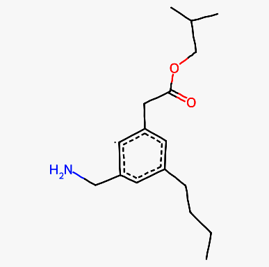 CCCCc1cc(CN)[c]c(CC(=O)OCC(C)C)c1